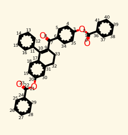 O=C(Oc1ccc(C(=O)C2=C(c3ccccc3)c3ccc(OC(=O)c4ccccc4)cc3CC2)cc1)c1ccccc1